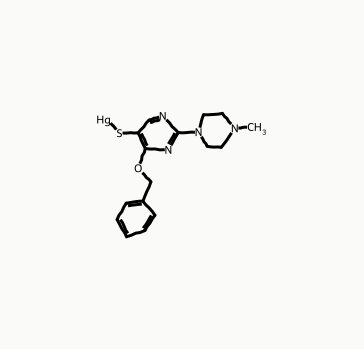 CN1CCN(c2ncc([S][Hg])c(OCc3ccccc3)n2)CC1